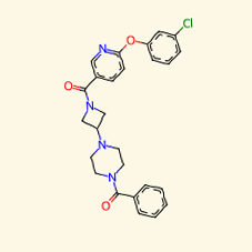 O=C(c1ccccc1)N1CCN(C2CN(C(=O)c3ccc(Oc4cccc(Cl)c4)nc3)C2)CC1